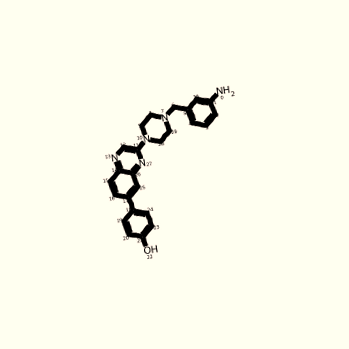 Nc1cccc(CN2CCN(c3cnc4ccc(-c5ccc(O)cc5)cc4n3)CC2)c1